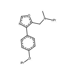 CCCN(C)Cc1ocnc1-c1ccc(OC(C)C)cc1